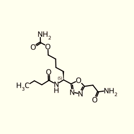 CCCC(=O)N[C@@H](CCCCOC(N)=O)c1nnc(CC(N)=O)o1